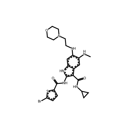 CNc1cc2c(C(=O)NC3CC3)c(NC(=O)c3ccc(Br)s3)[nH]c2cc1NCCN1CCOCC1